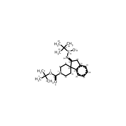 CC(C)(C)OC(=O)N1CCC2(CC1)/C(=N/[S+]([O-])C(C)(C)C)Cc1ccccc12